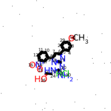 COc1ccc(-c2cc(-c3cccc([N+](=O)[O-])c3)nc(N=C(N)NCCO)n2)cc1.Cl